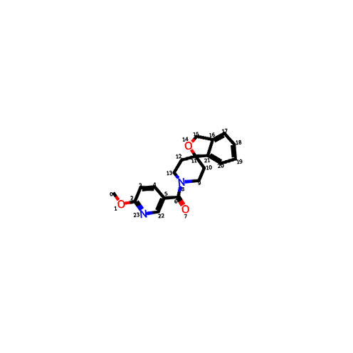 COc1ccc(C(=O)N2CCC3(CC2)OCc2ccccc23)cn1